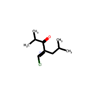 CC(C)C/C(=C\Cl)C(=O)C(C)C